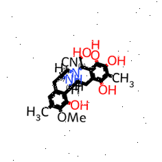 COc1c(C)cc2c(c1O)[C@@H]1N[C@@H](C2)[C@H](C#N)N2[C@@H](CO)c3c(O)c(O)c(C)c(O)c3C[C@@H]12